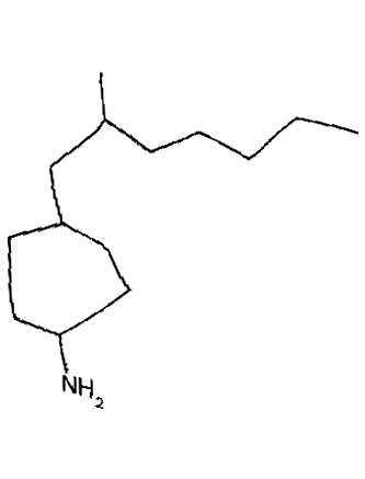 CCCCCC(C)CC1CCC(N)CC1